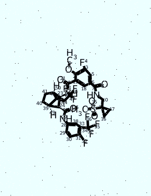 COc1c(F)cc(C(=O)NCC2(S(C)(=O)=O)CC2)cc1C(=O)N[C@H]1[C@@H](C(=O)Nc2ccc(F)c(C(F)(F)F)c2)[C@H]2CC[C@@H]1/C2=C\C(F)(F)F